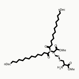 CCCCCCCCCCCCCCCCCCCCCC(=O)N(C(=O)CCCCCCCCCCCCCCCCCCCCC)[C@@H](CSSCC(N)C(=O)OC)C(=O)OC